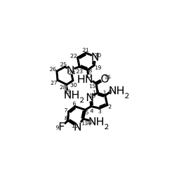 Nc1ccc(-c2ccc(F)nc2N)nc1C(=O)Nc1cnccc1N1CCC[C@H](N)C1